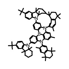 Cc1cc2c3c(c1)N1c4cc5c(cc4C)C(C)(C)CCC5(C)C4CCC5(C)c6cc(C(C)(C)C)ccc6N(c6ccc(c1c6)B3c1ccc(N3c6ccc(C(C)(C)C)cc6C6(C)CCCCC36C)cc1N2c1cc2c(cc1C)C(C)(C)CCC2(C)C)C5(C)C4